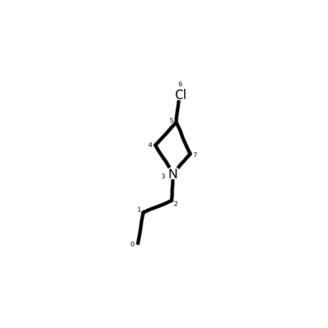 CCCN1CC(Cl)C1